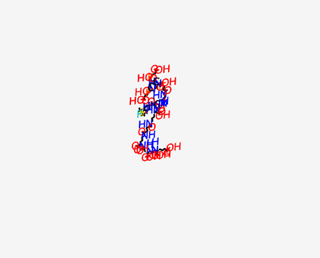 CC(C)(C)S(F)(c1ccc(C(=O)NC[C@@H](C(=O)N[C@@H](CCCCNC(=O)CCC(=O)NCCC[C@@H](NC(=O)CC[C@H](NC(=O)N[C@@H](CCCC(=O)O)C(=O)O)C(=O)O)C(=O)O)C(=O)O)n2cc(CNC(=O)CCP(=O)(O)CN3CCN(CP(O)CCC(=O)O)CCN(CP(=O)(O)CCC(=O)O)CC3)nn2)cc1)C(C)(C)C